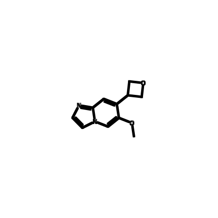 COc1cn2ccnc2cc1C1COC1